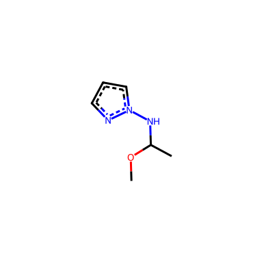 COC(C)Nn1cccn1